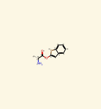 C[C@@H](N)C(=O)Oc1cc2ccccc2s1